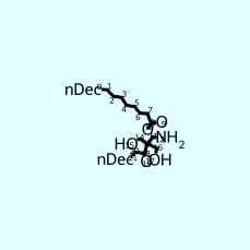 CCCCCCCCCCCCCCCCCC(=O)OC(N)C(CO)(CO)C(=O)CCCCCCCCCCC